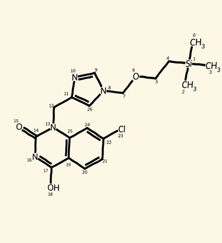 C[Si](C)(C)CCOCn1cnc(Cn2c(=O)nc(O)c3ccc(Cl)cc32)c1